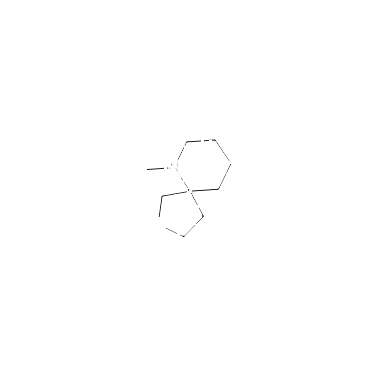 CN1CCCCC12CCOC2